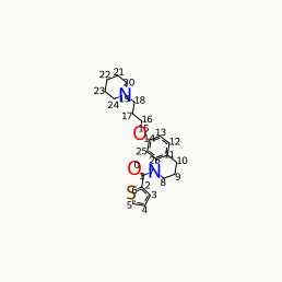 O=C(c1cccs1)N1CCCc2ccc(OCCCN3CCCCC3)cc21